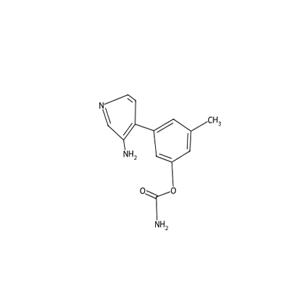 Cc1cc(OC(N)=O)cc(-c2ccncc2N)c1